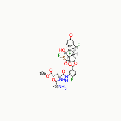 C[C@H](N)C(=O)N[C@@H](CCC(=O)OC(C)(C)C)C(=O)Nc1cc(C(=O)O[C@]2(C(=O)SCF)CC[C@H]3[C@@H]4C[C@H](F)C5=CC(=O)C=C[C@]5(C)[C@@]4(F)[C@@H](O)C[C@@]32C)ccc1F